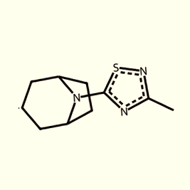 Cc1nsc(N2C3C[CH]CC2CC3)n1